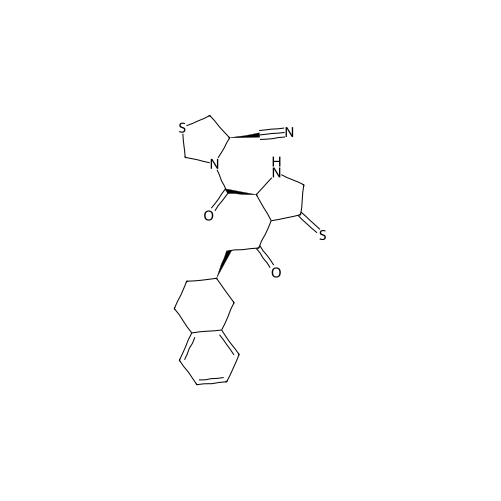 N#C[C@@H]1CSCN1C(=O)[C@H]1NCC(=S)C1C(=O)C[C@@H]1CCc2ccccc2C1